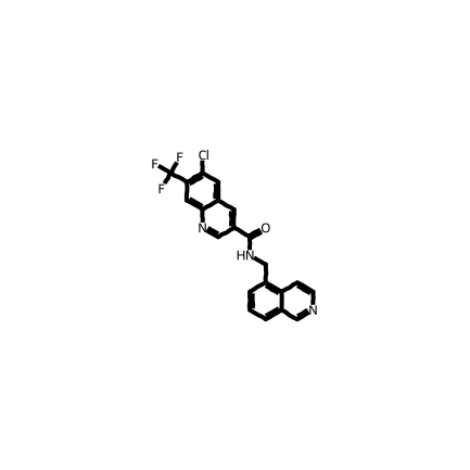 O=C(NCc1cccc2cnccc12)c1cnc2cc(C(F)(F)F)c(Cl)cc2c1